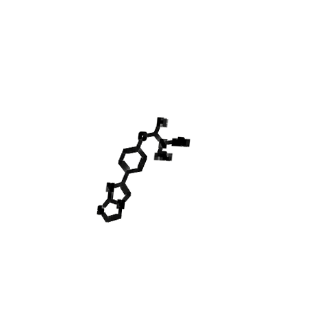 CCCCN(CCCC)C(CC)Oc1ccc(-c2cn3ccsc3n2)cc1